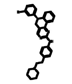 Brc1cccc([C@@H]2Cc3cnc(Nc4ccc(CCN5CCCCC5)cc4)nc3-c3ccccc32)c1